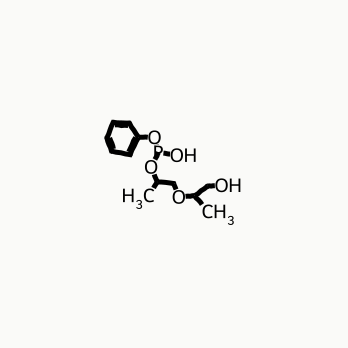 CC(CO)OCC(C)OP(O)Oc1ccccc1